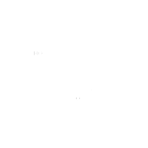 CC1=C(C#CCO)C(=O)CC1